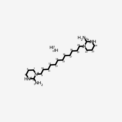 I.I.NC1NCCCN1CCCCCCCCCCCCN1CCCNC1N